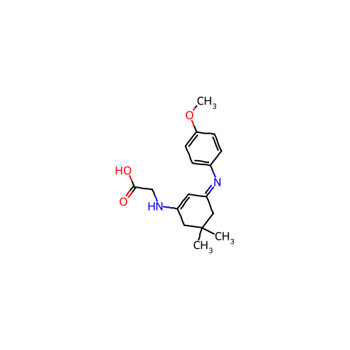 COc1ccc(N=C2C=C(NCC(=O)O)CC(C)(C)C2)cc1